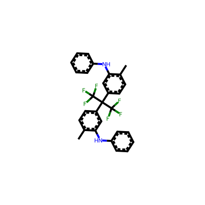 Cc1ccc(C(c2ccc(C)c(Nc3ccccc3)c2)(C(F)(F)F)C(F)(F)F)cc1Nc1ccccc1